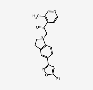 CCc1nc(-c2ccc3c(c2)CC[C@H]3CC(=O)c2ccncc2C)no1